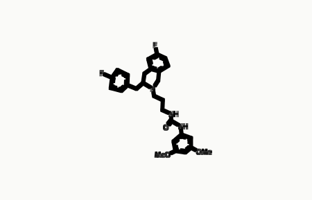 COc1cc(NC(=O)NCCCN2Cc3ccc(F)cc3CC2Cc2ccc(F)cc2)cc(OC)c1